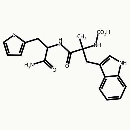 CC(Cc1c[nH]c2ccccc12)(NC(=O)O)C(=O)NC(Cc1cccs1)C(N)=O